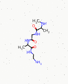 CNC(C)C(=O)NCC(=O)NC(C)C(=O)NCCN